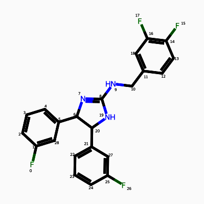 Fc1cccc(C2N=C(NCc3ccc(F)c(F)c3)NC2c2cccc(F)c2)c1